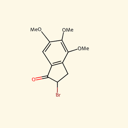 COc1cc2c(c(OC)c1OC)CC(Br)C2=O